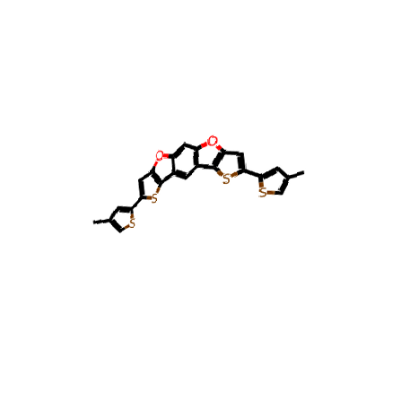 Cc1csc(-c2cc3oc4cc5oc6cc(-c7cc(C)cs7)sc6c5cc4c3s2)c1